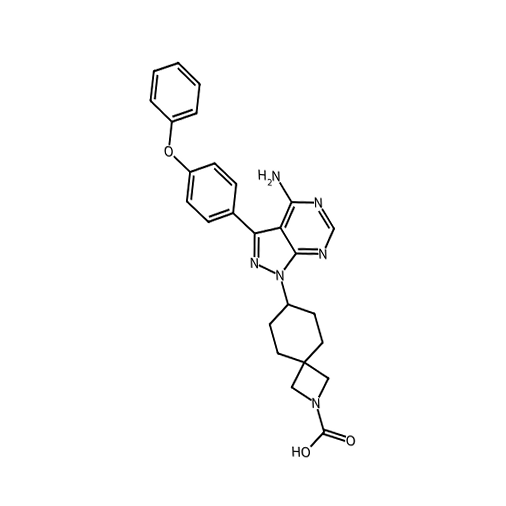 Nc1ncnc2c1c(-c1ccc(Oc3ccccc3)cc1)nn2C1CCC2(CC1)CN(C(=O)O)C2